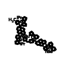 CCCCc1cccc2c1oc1c(N(c3ccccc3)c3ccc4ccc5c(N(c6ccc(Cc7ccc(N(c8ccc9ccc%10c(N(c%11ccc(C)cc%11)c%11cccc%12c%11oc%11c(C(C)C)cccc%11%12)ccc%11ccc8c9c%11%10)c8cccc9c8oc8c(C(C)C)cccc89)cc7)cc6)c6cccc7c6oc6c(CCCC)cccc67)ccc6ccc3c4c65)cccc12